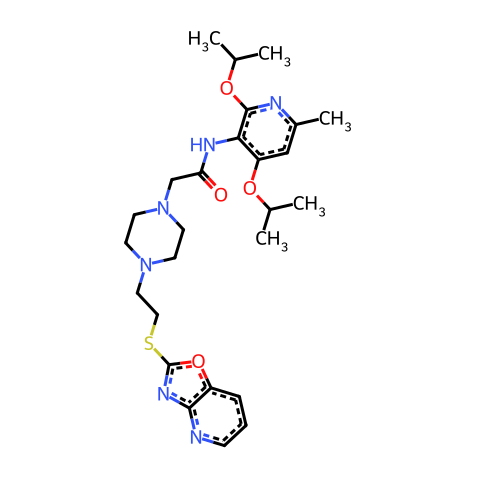 Cc1cc(OC(C)C)c(NC(=O)CN2CCN(CCSc3nc4ncccc4o3)CC2)c(OC(C)C)n1